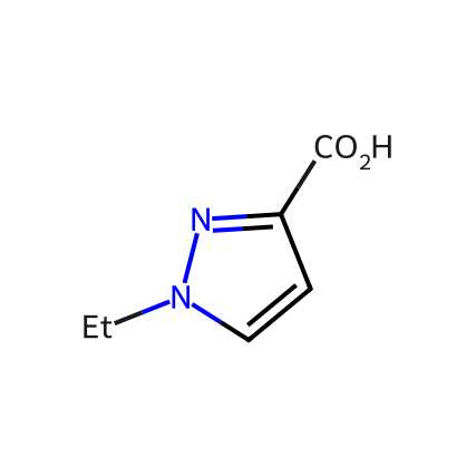 [CH2]Cn1ccc(C(=O)O)n1